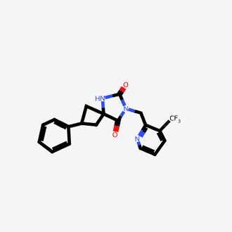 O=C1NC2(CC(c3ccccc3)C2)C(=O)N1Cc1ncccc1C(F)(F)F